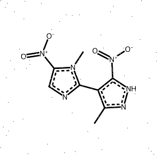 Cc1n[nH]c([N+](=O)[O-])c1-c1ncc([N+](=O)[O-])n1C